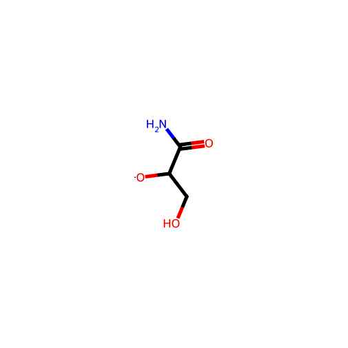 NC(=O)C([O])CO